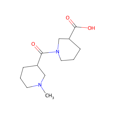 CN1CCCC(C(=O)N2CCCC(C(=O)O)C2)C1